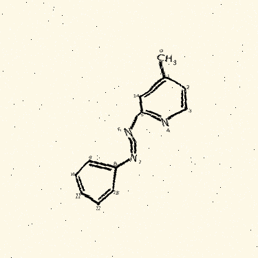 Cc1ccnc(/N=N/c2ccccc2)c1